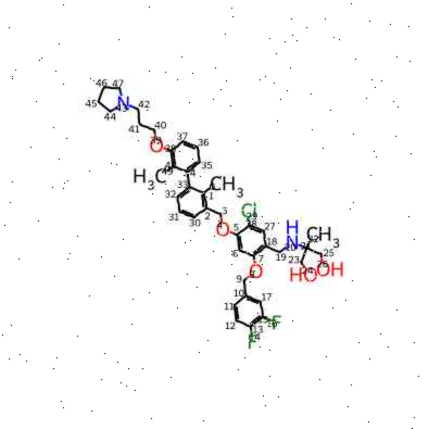 Cc1c(COc2cc(OCc3ccc(F)c(F)c3)c(CNC(C)(CO)CO)cc2Cl)cccc1-c1cccc(OCCCN2CCCC2)c1C